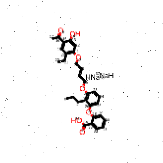 CCCc1c(OCCCCOc2cc(O)c(C(C)=O)cc2CC)cccc1Oc1ccccc1C(=O)O.[NaH].[NaH]